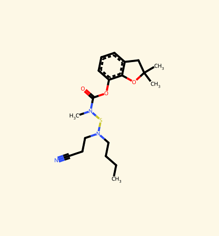 CCCCN(CCC#N)SN(C)C(=O)Oc1cccc2c1OC(C)(C)C2